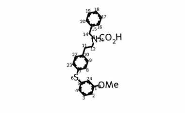 COc1cccc(Sc2ccc(CCN(Cc3ccccc3)C(=O)O)cc2)c1